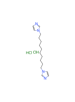 Cl.Cl.c1cn(CCCCCCCCCCn2ccnc2)cn1